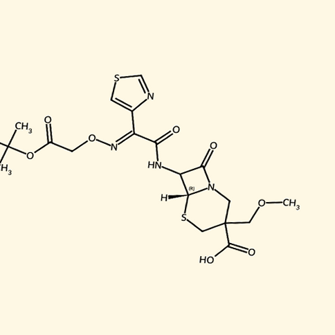 COCC1(C(=O)O)CS[C@@H]2C(NC(=O)C(=NOCC(=O)OC(C)(C)C)c3cscn3)C(=O)N2C1